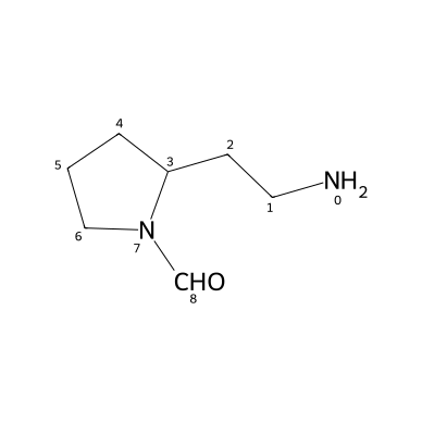 NCCC1CCCN1C=O